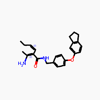 CC/C=C\C(C(=O)NCc1ccc(Oc2ccc3c(c2)CCC3)cc1)=C(/C)N